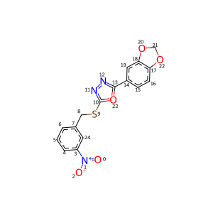 O=[N+]([O-])c1cccc(CSc2nnc(-c3ccc4c(c3)OCO4)o2)c1